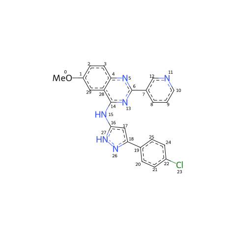 COc1ccc2nc(-c3cccnc3)nc(Nc3cc(-c4ccc(Cl)cc4)n[nH]3)c2c1